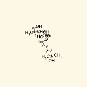 CC(C)(CO)CCCCC(CCCC(C)(C)CO)OP(=O)(O)O